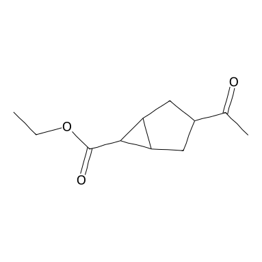 CCOC(=O)C1C2CC(C(C)=O)CC21